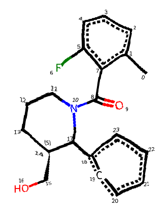 Cc1cccc(F)c1C(=O)N1CCC[C@H](CO)C1c1ccccc1